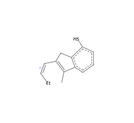 CC/C=C\C1=C(C)c2cccc(S)c2C1